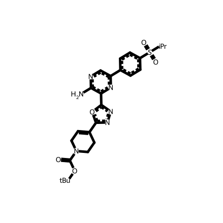 CC(C)S(=O)(=O)c1ccc(-c2cnc(N)c(-c3nnc(C4=CCN(C(=O)OC(C)(C)C)CC4)o3)n2)cc1